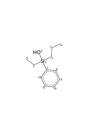 CCC[Si](O)(CC)c1ccccc1